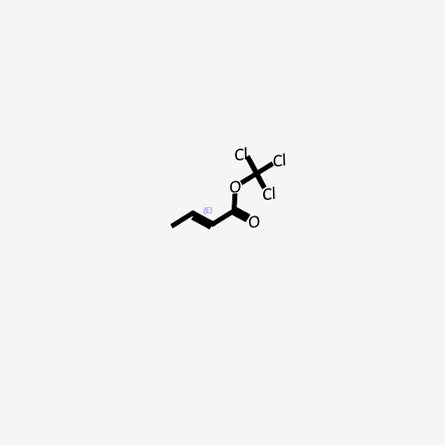 C/C=C/C(=O)OC(Cl)(Cl)Cl